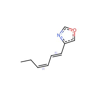 CC/C=C\C=C\c1cocn1